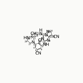 C[C@@H]1CN(c2cc(C#N)cc(Nc3nc(NC4CC4)n4ncc(C#N)c4n3)c2Cl)CCN1